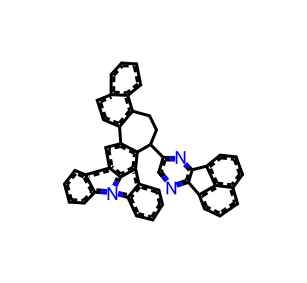 c1ccc2c3c(ccc2c1)-c1cc2c4ccccc4n4c5ccccc5c(c1C(c1cnc5c(n1)-c1cccc6cccc-5c16)CC3)c24